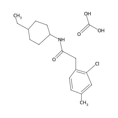 CCC1CCC(NC(=O)Cc2ccc(C)cc2Cl)CC1.O=C(O)O